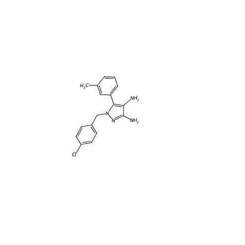 Cc1cccc(-c2c(N)c(N)nn2Cc2ccc(Cl)cc2)c1